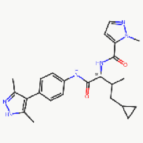 Cc1n[nH]c(C)c1-c1ccc(NC(=O)[C@@H](NC(=O)c2ccnn2C)C(C)CC2CC2)cc1